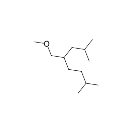 COCC(CCC(C)C)CC(C)C